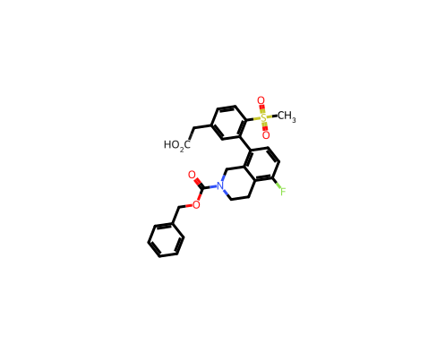 CS(=O)(=O)c1ccc(CC(=O)O)cc1-c1ccc(F)c2c1CN(C(=O)OCc1ccccc1)CC2